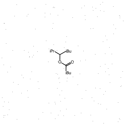 CCC(C)C(=O)OC(C(C)C)C(C)CC